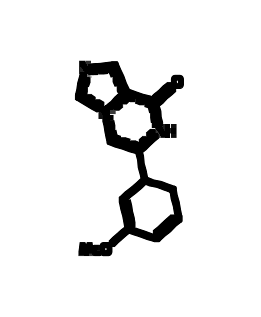 COC1=CC(c2cn3cncc3c(=O)[nH]2)CC=C1